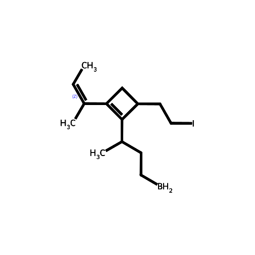 BCCC(C)C1=C(/C(C)=C\C)CC1CCI